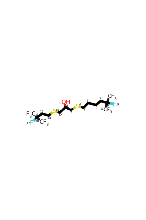 OC(CSCCCCC(F)(C(F)(F)F)C(F)(F)F)CSCCC(F)(C(F)(F)F)C(F)(F)F